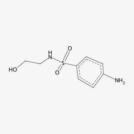 Nc1ccc(S(=O)(=O)NCCO)cc1